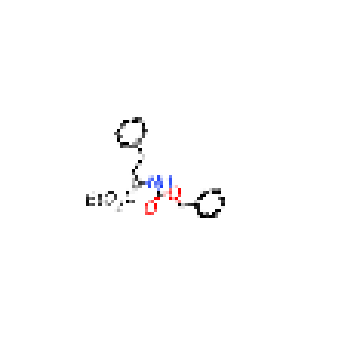 CCOC(=O)[C@H](CCc1ccccc1)NC(=O)OCc1ccccc1